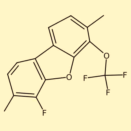 Cc1ccc2c(oc3c(OC(F)(F)F)c(C)ccc32)c1F